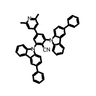 Cc1cc(-c2cc(-n3c4ccccc4c4cc(-c5ccccc5)ccc43)c(C#N)c(-n3c4ccccc4c4cc(-c5ccccc5)ccc43)c2)cc(C)n1